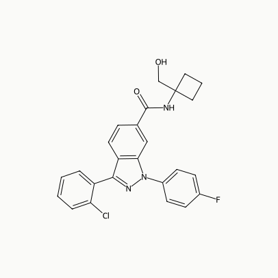 O=C(NC1(CO)CCC1)c1ccc2c(-c3ccccc3Cl)nn(-c3ccc(F)cc3)c2c1